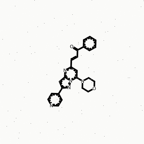 O=C(C=Cc1cc(N2CCOCC2)n2nc(-c3ccncc3)cc2n1)c1ccccc1